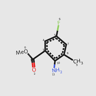 COC(=O)c1cc(F)cc(C)c1N